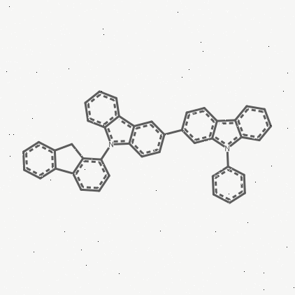 c1ccc(-n2c3ccccc3c3ccc(-c4ccc5c(c4)c4ccccc4n5-c4cccc5c4Cc4ccccc4-5)cc32)cc1